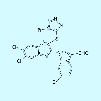 CC(C)n1nnnc1Sc1nc2cc(Cl)c(Cl)cc2nc1-n1cc(C=O)c2ccc(Br)cc21